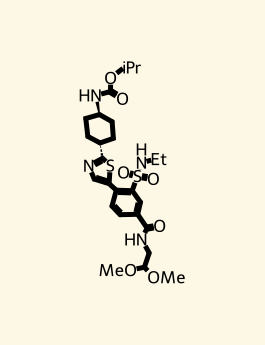 CCNS(=O)(=O)c1cc(C(=O)NCC(OC)OC)ccc1-c1cnc([C@H]2CC[C@H](NC(=O)OC(C)C)CC2)s1